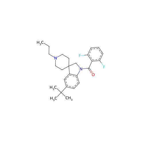 CCCN1CCC2(CC1)CN(C(=O)c1c(F)cccc1F)c1ccc(C(C)(C)C)cc12